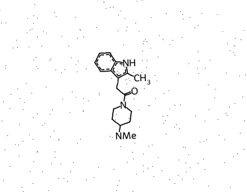 CNC1CCN(C(=O)Cc2c(C)[nH]c3ccccc23)CC1